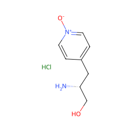 Cl.N[C@@H](CO)Cc1cc[n+]([O-])cc1